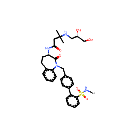 CCNS(=O)(=O)c1ccccc1-c1ccc(CN2C(=O)[C@H](NC(=O)CC(C)(C)NC[C@H](O)CO)CCc3ccccc32)cc1